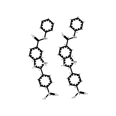 O=C(Nc1ccccc1)c1ccc2nc(-c3ccc([N+](=O)[O-])cc3)[nH]c2c1.O=C(Nc1ccccc1)c1ccc2nc(-c3ccc([N+](=O)[O-])cc3)[nH]c2c1